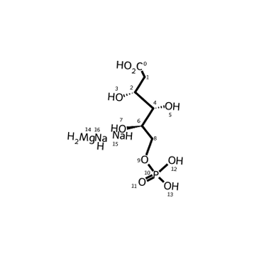 O=C(O)C[C@@H](O)[C@H](O)[C@H](O)COP(=O)(O)O.[MgH2].[NaH].[NaH]